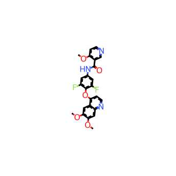 COc1cc2nccc(Oc3c(F)cc(NC(=O)c4cnccc4OC)cc3F)c2cc1OC